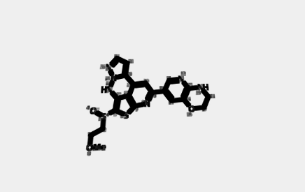 COCC[S+]([O-])c1sc2nc(-c3cnc4c(c3)OCCN4)cc3c2c1[nH]n1nccc31